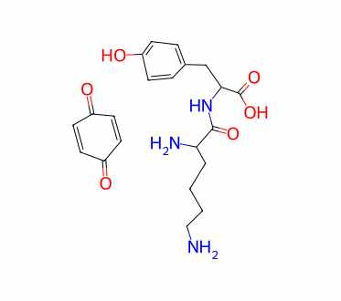 NCCCCC(N)C(=O)NC(Cc1ccc(O)cc1)C(=O)O.O=C1C=CC(=O)C=C1